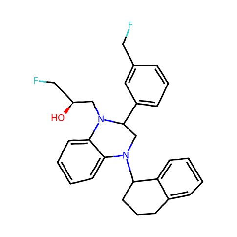 O[C@@H](CF)CN1c2ccccc2N(C2CCCc3ccccc32)CC1c1cccc(CF)c1